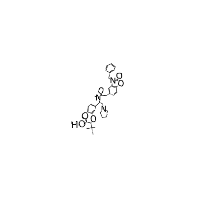 CN(C(=O)Cc1ccc2oc(=O)n(Cc3ccccc3)c2c1)C(CN1CCCC1)c1cccc(OC(C(=O)O)C(C)(C)C)c1